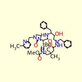 COC(=O)NCC(C)(C)CC(=O)NN(Cc1ccccc1)CC(O)C(Cc1ccccc1)NC(=O)C(N1CCN(Cc2cccc(C)n2)C1=O)C(C)(C)C